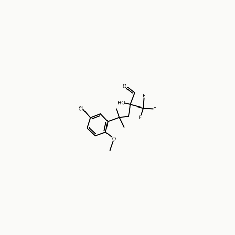 COc1ccc(Cl)cc1C(C)(C)CC(O)(C=O)C(F)(F)F